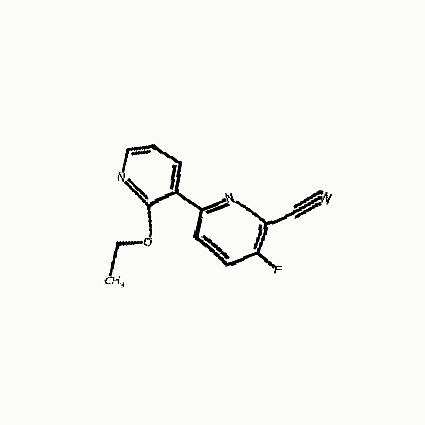 CCOc1ncccc1-c1ccc(F)c(C#N)n1